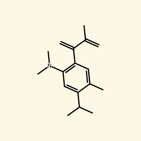 C=C(C)C(=C)c1cc(C)c(C(C)C)cc1N(C)C